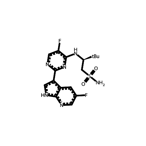 CC(C)(C)[C@@H](CS(N)(=O)=O)Nc1nc(-c2c[nH]c3ncc(F)cc23)ncc1F